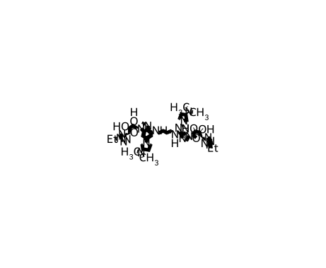 CCn1nnc([C@H]2OC(n3cnc4c(NCCCCNc5cc(N6CC[C@@H](N(C)C)C6)cc6c5ncn6[C@@H]5O[C@H](c6nnn(CC)n6)[C@@H](O)[C@H]5O)nc(N5CC[C@@H](N(C)C)C5)nc43)[C@H](O)[C@@H]2O)n1